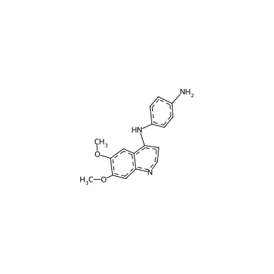 COc1cc2nccc(Nc3ccc(N)cc3)c2cc1OC